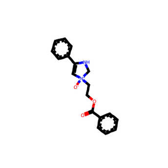 O=C(OCC[N+]1([O-])C=C(c2ccccc2)NC1)c1ccccc1